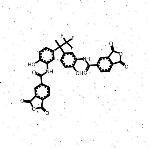 CC(c1ccc(O)c(NC(=O)c2ccc3c(c2)C(=O)OC3=O)c1)(c1ccc(O)c(NC(=O)c2ccc3c(c2)C(=O)OC3=O)c1)C(F)(F)F